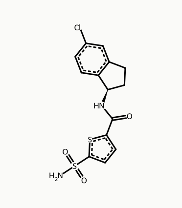 NS(=O)(=O)c1ccc(C(=O)N[C@@H]2CCc3cc(Cl)ccc32)s1